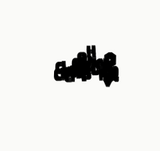 CC(OC(=O)c1ccccc1NCC(=O)NC1C(=O)N2[C@@H]1SC1(C)CC21C(=O)OCC(Cl)(Cl)Cl)C1CC1